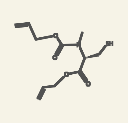 C=CCOC(=O)[C@@H](CS)N(C)C(=O)OCC=C